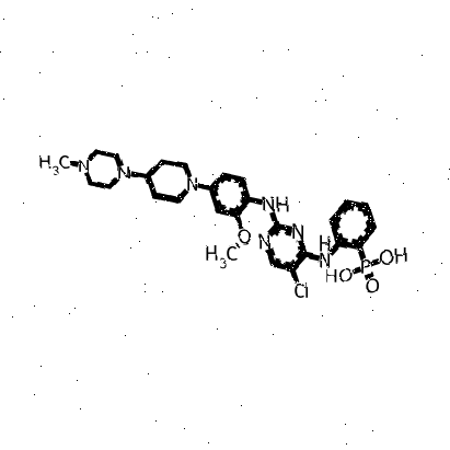 COc1cc(N2CCC(N3CCN(C)CC3)CC2)ccc1Nc1ncc(Cl)c(Nc2ccccc2P(=O)(O)O)n1